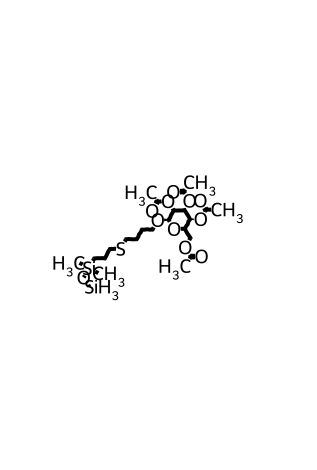 CC(=O)OCC1O[C@@H](OCCCCSCCC[Si](C)(C)O[SiH3])C(OC(C)=O)[C@H](OC(C)=O)[C@@H]1OC(C)=O